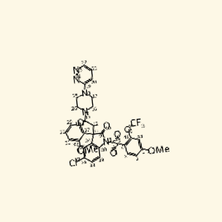 COc1ccc(S(=O)(=O)N2C(=O)C(CC(=O)N3CCN(c4cccnn4)CC3)(c3ccccc3OC)c3cc(Cl)ccc32)c(OC(F)(F)F)c1